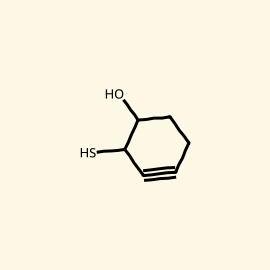 OC1CCC#CC1S